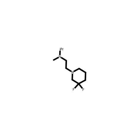 CC(C)N(C)CCN1CCCC(F)(F)C1